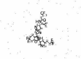 O=C(CCC(F)(F)F)NC(c1cnn2cc([C@@H](NC(=O)c3cncc(CCC(F)F)c3)C3CCC(F)(F)CC3)nc2c1)C1CC1